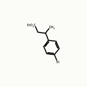 CCOC(=O)CC(C)c1ccc(CC)cc1